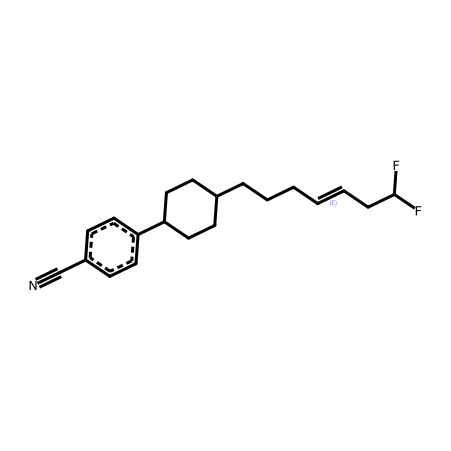 N#Cc1ccc(C2CCC(CCC/C=C/CC(F)F)CC2)cc1